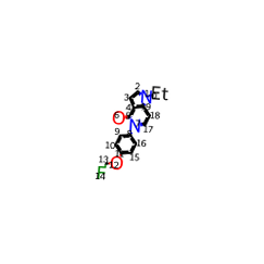 CCn1ccc2c(=O)n(-c3ccc(OCF)cc3)ccc21